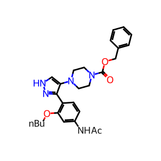 CCCCOc1cc(NC(C)=O)ccc1-c1n[nH]cc1N1CCN(C(=O)OCc2ccccc2)CC1